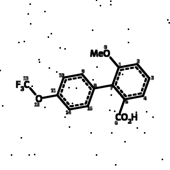 COc1cccc(C(=O)O)c1-c1ccc(OC(F)(F)F)cc1